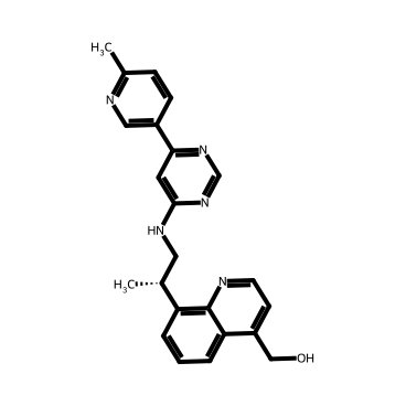 Cc1ccc(-c2cc(NC[C@@H](C)c3cccc4c(CO)ccnc34)ncn2)cn1